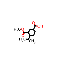 COC(=O)C1CC(C(=O)O)CCC1C(C)C